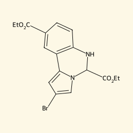 CCOC(=O)c1ccc2c(c1)-c1cc(Br)cn1C(C(=O)OCC)N2